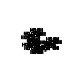 CC(O)C(NC1C=C(CO)C(O)C(O)C1O)C(O)C(O)COC1C(CO)OC(OC2C(CO)OC(OC3C(CO)OC(OC4OC(CO)C(O)C(O)C4O)C(O)C3O)C(O)C2O)C(O)C1O